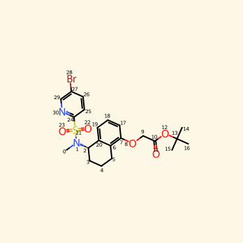 CN([C@@H]1CCCc2c(OCC(=O)OC(C)(C)C)cccc21)S(=O)(=O)c1ccc(Br)cn1